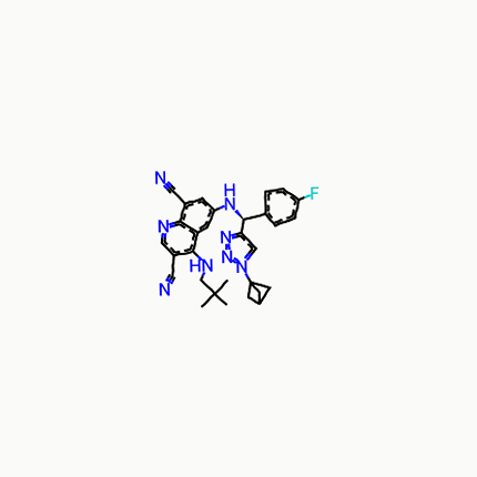 CC(C)(C)CNc1c(C#N)cnc2c(C#N)cc(N[C@@H](c3ccc(F)cc3)c3cn(C45CC(C4)C5)nn3)cc12